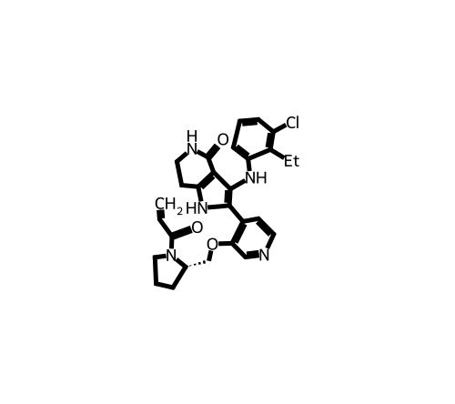 C=CC(=O)N1CCC[C@H]1COc1cnccc1-c1[nH]c2c(c1Nc1cccc(Cl)c1CC)C(=O)NCC2